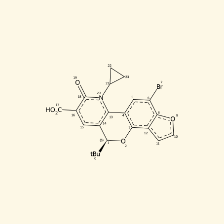 CC(C)(C)[C@@H]1Oc2c(cc(Br)c3occc23)-c2c1cc(C(=O)O)c(=O)n2C1CC1